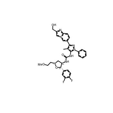 COCCN1C[C@@H](NC(=O)Nc2c(C)c(-c3ccc4nc(CO)cn4c3)nn2-c2ccccc2)[C@H](c2ccc(F)c(F)c2)O1